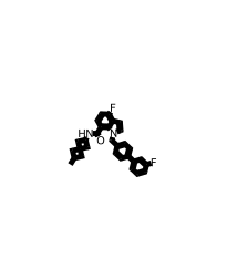 CC1CC2(C1)CC(NC(=O)c1ccc(F)c3ccn(Cc4ccc(-c5cccc(F)c5)cc4)c13)C2